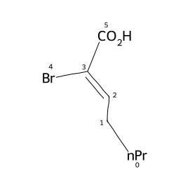 CCCCC=C(Br)C(=O)O